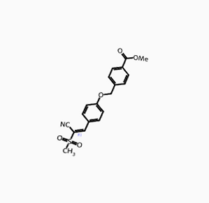 COC(=O)c1ccc(COc2ccc(/C=C(\C#N)S(C)(=O)=O)cc2)cc1